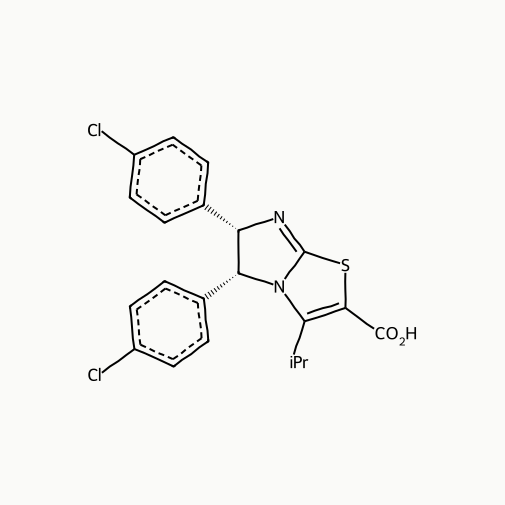 CC(C)C1=C(C(=O)O)SC2=N[C@@H](c3ccc(Cl)cc3)[C@@H](c3ccc(Cl)cc3)N21